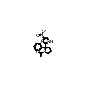 CC(=O)N1CCCC1(c1ccccc1)c1nc([N+](=O)[O-])c[nH]1